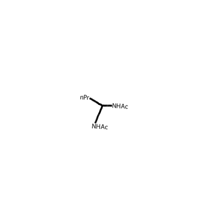 C[CH]CC(NC(C)=O)NC(C)=O